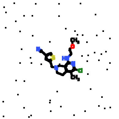 COCCNc1nc(Cl)c(C)c2c1CN(Cc1cc(C#N)cs1)CC2